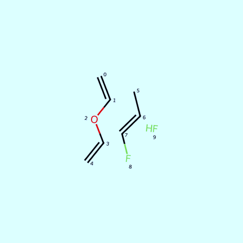 C=COC=C.CC=CF.F